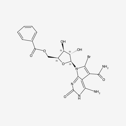 NC(=O)c1c(Br)n([C@H]2O[C@@H](COC(=O)c3ccccc3)[C@@H](O)[C@@H]2O)c2nc(=O)[nH]c(N)c12